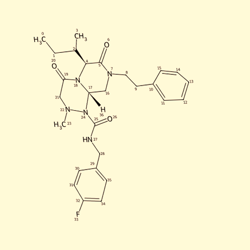 CCC(C)[C@H]1C(=O)N(CCc2ccccc2)C[C@H]2N1C(=O)CN(C)N2C(=O)NCc1ccc(F)cc1